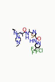 C=C/N=C(\C=C(/C)C(=O)NC(C)c1ncc(C(=O)Nc2cc(C(F)(F)F)c(Cl)cn2)s1)N1CCN(CC)CC1